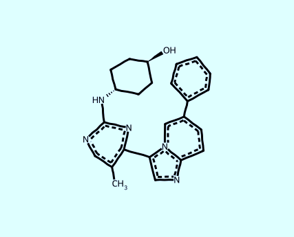 Cc1cnc(N[C@H]2CC[C@H](O)CC2)nc1-c1cnc2ccc(-c3ccccc3)cn12